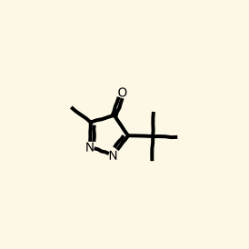 CC1=NN=C(C(C)(C)C)C1=O